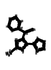 Nc1nc(-c2ccco2)c(C(=O)c2ccccc2)s1